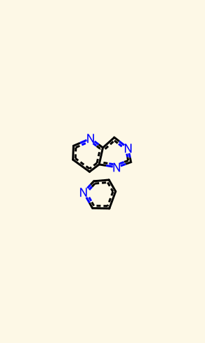 c1ccncc1.c1cnc2cncnc2c1